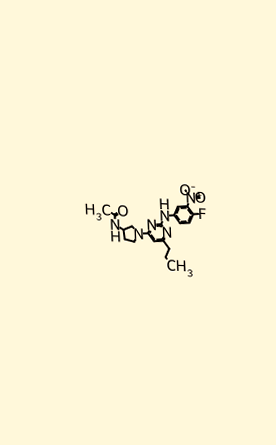 CCCc1cc(N2CCC(NC(C)=O)C2)nc(Nc2ccc(F)c([N+](=O)[O-])c2)n1